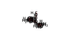 CCCOCCOCCOCCOCCC(=O)N(CCOCCNC(=O)O[C@@H]([C@@H]1OC(C(=O)O)=C[C@H](NC(=N)N)[C@H]1C)[C@H](O)CO)CCOCCNC(=O)O[C@@H]([C@@H]1OC(C(=O)O)=C[C@H](NC(=N)N)[C@H]1NC(C)=O)[C@H](O)CO